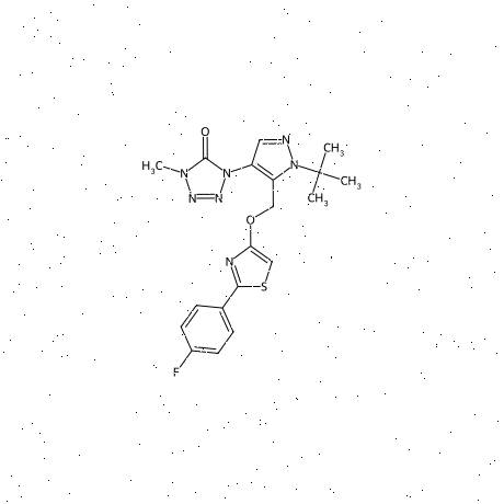 Cn1nnn(-c2cnn(C(C)(C)C)c2COc2csc(-c3ccc(F)cc3)n2)c1=O